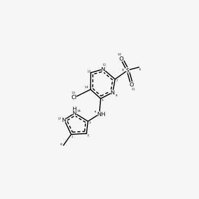 Cc1cc(Nc2nc(S(C)(=O)=O)ncc2Cl)[nH]n1